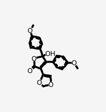 COc1ccc(C2=C(C3=COCO3)C(=O)OC2(O)c2ccc(OC)cc2)cc1